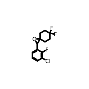 Fc1c(Cl)cccc1C1OC12CCC(F)(F)CC2